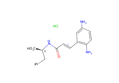 CC(C)C[C@H](NC(=O)/C=C/c1cc(N)ccc1N)C(=O)O.Cl